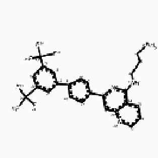 NCCCNc1nc(-c2ccc(-c3cc(C(F)(F)F)cc(C(F)(F)F)c3)cc2)cc2ncccc12